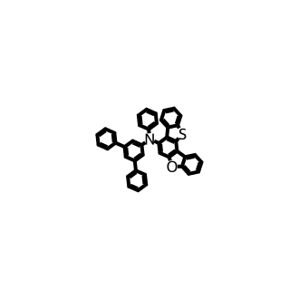 c1ccc(-c2cc(-c3ccccc3)cc(N(c3ccccc3)c3cc4oc5ccccc5c4c4sc5ccccc5c34)c2)cc1